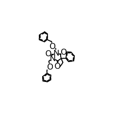 CCC1(c2ccccc2)C(=O)N(COCc2ccccc2)C(=O)N(COCc2ccccc2)C1=O